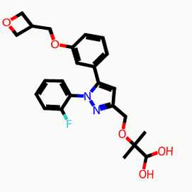 CC(C)(OCc1cc(-c2cccc(OCC3COC3)c2)n(-c2ccccc2F)n1)C(O)O